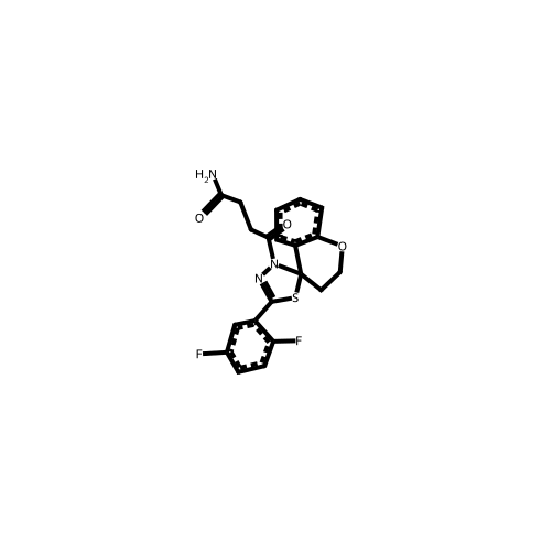 NC(=O)CCC(=O)N1N=C(c2cc(F)ccc2F)SC12CCOc1ccccc12